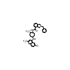 CC1CC[C@H](Nc2cc(C(F)(F)F)nc3ccc(Cl)cc23)CC[C@@H]1NC(=O)c1cccc2c1CN(Cc1ccccc1)C2